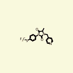 CC1C(=O)N(c2ccc(SC(F)(F)F)cc2)C(=O)N1Cc1ccncc1